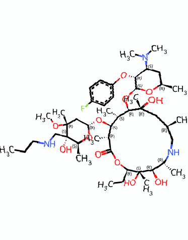 CCCNC[C@]1(O)[C@H](C)O[C@@H](O[C@H]2[C@H](C)[C@@H](O[C@@H]3O[C@H](C)C[C@H](N(C)C)[C@H]3Oc3ccc(F)cc3)[C@](C)(O)C[C@@H](C)CN[C@H](C)[C@@H](O)[C@](C)(O)[C@@H](CC)OC(=O)[C@@H]2C)C[C@@]1(C)OC